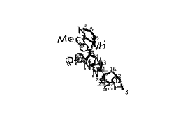 COc1ncccc1NC(=O)c1cn2cc([C@]34CCO[C@](C)(CC3)C4)nc2nc1OC(C)C